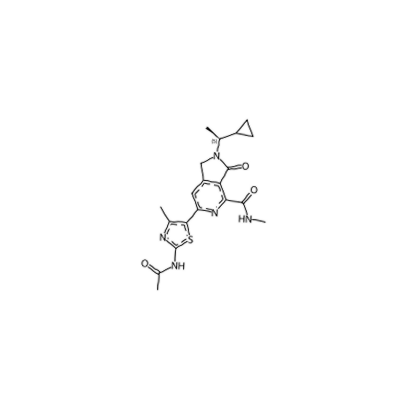 CNC(=O)c1nc(-c2sc(NC(C)=O)nc2C)cc2c1C(=O)N([C@@H](C)C1CC1)C2